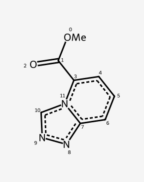 COC(=O)c1cccc2nncn12